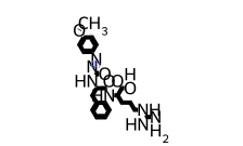 COc1ccc(/N=N/C(=O)NC(Cc2ccccc2)C(=O)NC(CCCNC(=N)N)C(=O)O)cc1